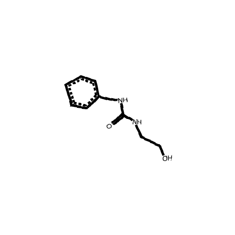 O=C(NCCO)Nc1ccccc1